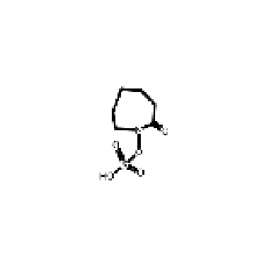 O=C1CCCCCN1OS(=O)(=O)O